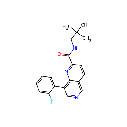 CC(C)(C)CNC(=O)c1ccc2cncc(-c3ccccc3F)c2n1